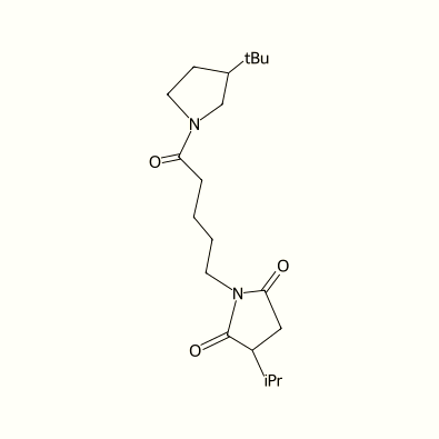 CC(C)C1CC(=O)N(CCCCC(=O)N2CCC(C(C)(C)C)C2)C1=O